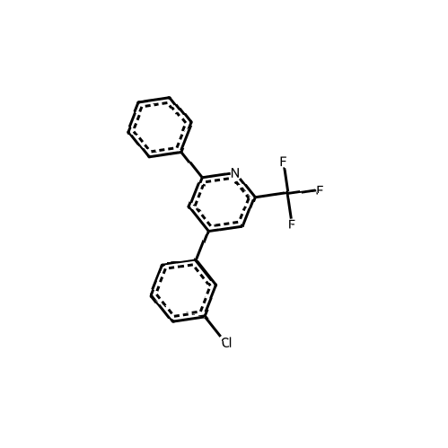 FC(F)(F)c1cc(-c2cccc(Cl)c2)cc(-c2ccccc2)n1